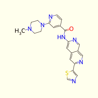 CN1CCN(c2cc(C(=O)Nc3cc4cc(-c5cncs5)ncc4cn3)ccn2)CC1